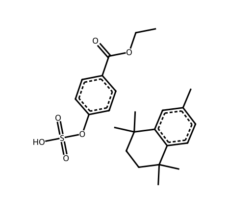 CCOC(=O)c1ccc(OS(=O)(=O)O)cc1.Cc1ccc2c(c1)C(C)(C)CCC2(C)C